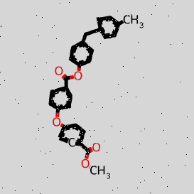 COC(=O)c1ccc(Oc2ccc(C(=O)Oc3ccc(Cc4ccc(C)cc4)cc3)cc2)cc1